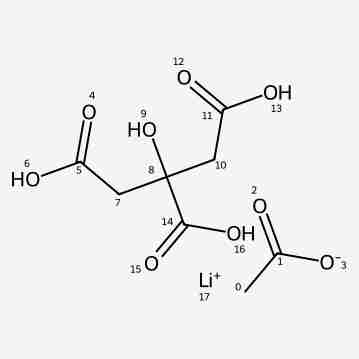 CC(=O)[O-].O=C(O)CC(O)(CC(=O)O)C(=O)O.[Li+]